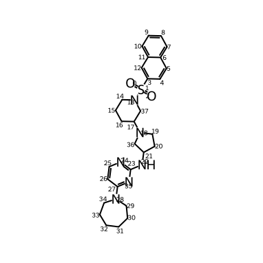 O=S(=O)(c1ccc2ccccc2c1)N1CCCC(N2CCC(Nc3nccc(N4CCCCCC4)n3)C2)C1